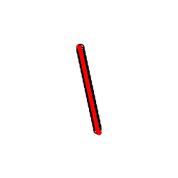 C1CCC(CCOCCOCCOCCOCCOCCOCCOCCOCCOCCOCCOCCOCCOCCOCCOCCOCCOCCOCCOCCOCCOCCOCCOCCOCCOCCOCCOCCOCCOCCOCCOCCOCCOCCOC2CCCC2)C1